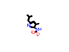 COC(=O)Nc1cnc(CC(C)C)cc1C